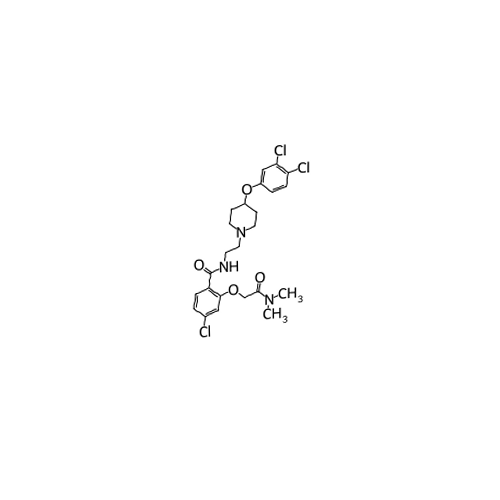 CN(C)C(=O)COc1cc(Cl)ccc1C(=O)NCCN1CCC(Oc2ccc(Cl)c(Cl)c2)CC1